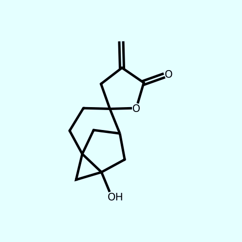 C=C1CC2(CCC34CC2CC3(O)C4)OC1=O